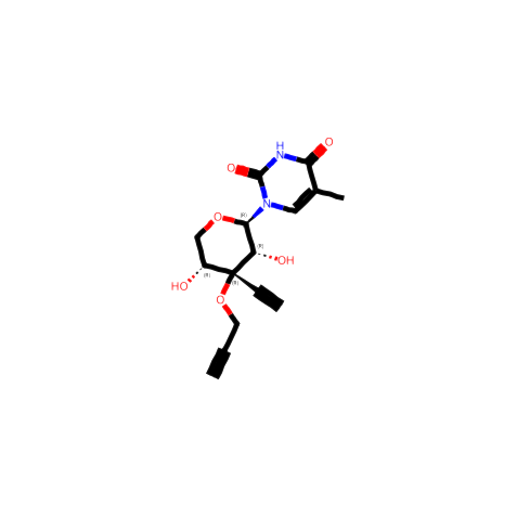 C#CCO[C@]1(C#C)[C@H](O)CO[C@@H](n2cc(C)c(=O)[nH]c2=O)[C@@H]1O